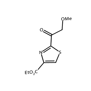 CCOC(=O)c1csc(C(=O)COC)n1